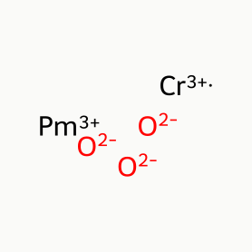 [Cr+3].[O-2].[O-2].[O-2].[Pm+3]